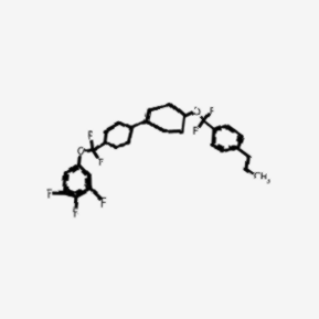 CCCc1ccc(C(F)(F)OC2CCC(C3CCC(C(F)(F)Oc4cc(F)c(F)c(F)c4)CC3)CC2)cc1